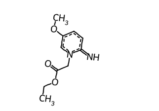 CCOC(=O)Cn1cc(OC)ccc1=N